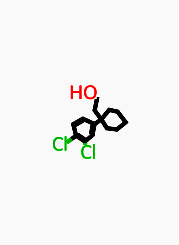 OCCC1(c2ccc(Cl)c(Cl)c2)CCCCC1